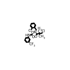 CC(C)(CCl)C(=O)N(Cc1ccccc1Cl)OC(=O)Nc1cccc(C(F)(F)F)c1